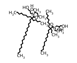 CCCCCCCCCCCCC(CCC)(CCCCCCCC)C(=O)N(CC)CC(O)CO.CCCCCCCCCCCCCCCCCCC(CCCCC)(CCCCCCCC)C(=O)N(CC(O)CO)C(C)CCC